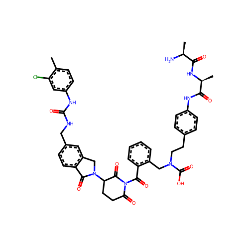 Cc1ccc(NC(=O)NCc2ccc3c(c2)CN(C2CCC(=O)N(C(=O)c4ccccc4CN(CCc4ccc(NC(=O)[C@H](C)NC(=O)[C@H](C)N)cc4)C(=O)O)C2=O)C3=O)cc1Cl